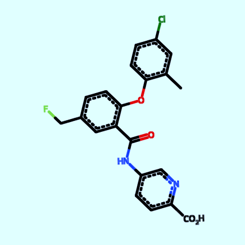 Cc1cc(Cl)ccc1Oc1ccc(CF)cc1C(=O)Nc1ccc(C(=O)O)nc1